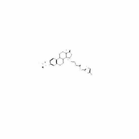 Cc1cnc(NC(=O)CCC[C@@H]2CC(=O)[C@@]3(C)CCC4c5ccc(OP(=O)(O)O)cc5CCC4C23)s1